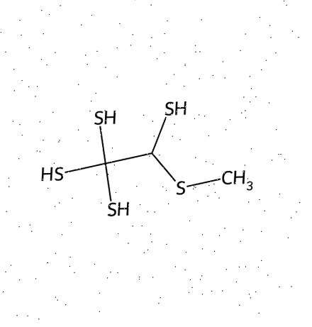 CSC(S)C(S)(S)S